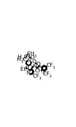 CCN(c1ncc(C(F)(F)F)cc1CN1C(=O)O[C@H](c2cc(C(F)(F)F)cc(C(F)(F)F)c2)[C@@H]1C)C1CCN(C(=O)N(C)C)C(C)C1